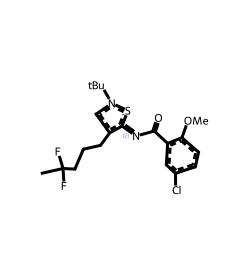 COc1ccc(Cl)cc1C(=O)/N=c1\sn(C(C)(C)C)cc1CCCC(C)(F)F